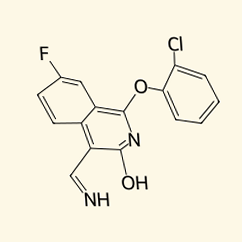 N=Cc1c(O)nc(Oc2ccccc2Cl)c2cc(F)ccc12